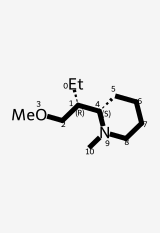 CC[C@@H](COC)[C@@H]1CCCCN1C